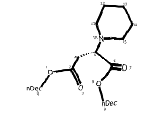 CCCCCCCCCCOC(=O)C[C@@H](C(=O)OCCCCCCCCCC)N1CCCCC1